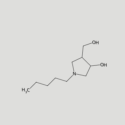 CCCCCN1CC(O)C(CO)C1